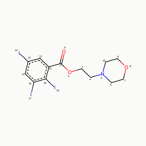 O=C(OCCN1CCOCC1)c1cc(I)cc(I)c1I